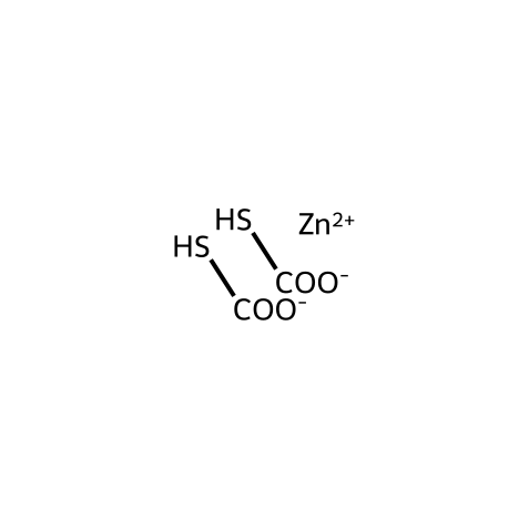 O=C([O-])S.O=C([O-])S.[Zn+2]